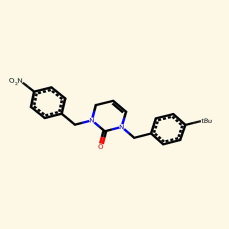 CC(C)(C)c1ccc(CN2C=CCN(Cc3ccc([N+](=O)[O-])cc3)C2=O)cc1